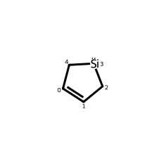 C1=CC[Si]C1